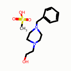 CS(=O)(=O)O.OCCN1CCN(Cc2ccccc2)CC1